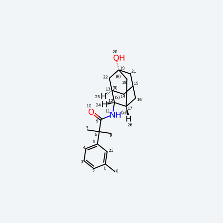 Cc1cccc(C(C)(C)C(=O)N[C@@H]2[C@@H]3CC4C[C@H]2C[C@](O)(C4)C3)c1